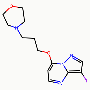 Ic1cnn2c(OCCCN3CCOCC3)ccnc12